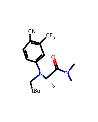 C[C@@H](C(=O)N(C)C)N(CC(C)(C)C)c1ccc(C#N)c(C(F)(F)F)c1